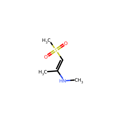 CNC(C)=CS(C)(=O)=O